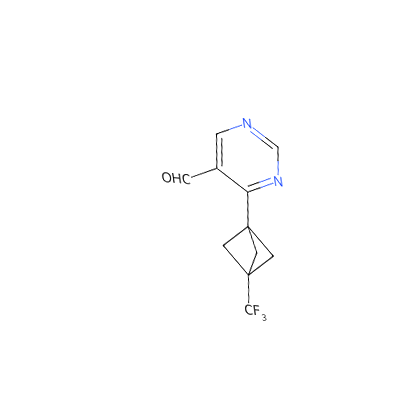 O=Cc1cncnc1C12CC(C(F)(F)F)(C1)C2